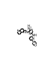 Nc1ncc(Nc2cccc(N3CCOCC3)n2)nc1NCc1ccc2ncccc2c1